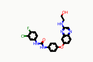 O=C(Nc1ccc(Oc2ccc3ncc(NCCO)nc3c2)cc1)Nc1ccc(F)c(Cl)c1